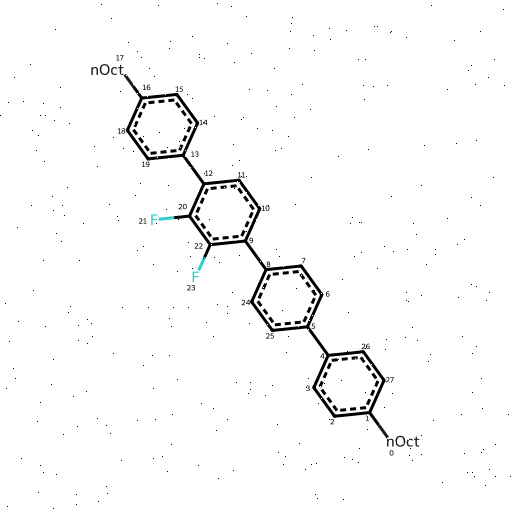 CCCCCCCCc1ccc(-c2ccc(-c3ccc(-c4ccc(CCCCCCCC)cc4)c(F)c3F)cc2)cc1